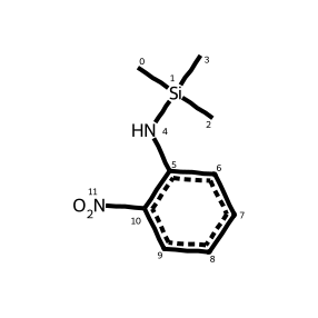 C[Si](C)(C)Nc1ccccc1[N+](=O)[O-]